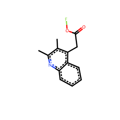 Cc1nc2ccccc2c(CC(=O)OF)c1C